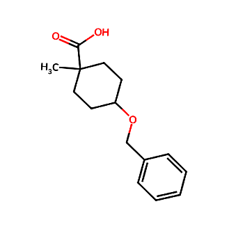 CC1(C(=O)O)CCC(OCc2ccccc2)CC1